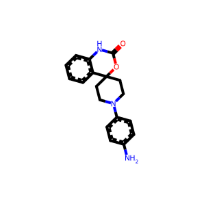 Nc1ccc(N2CCC3(CC2)OC(=O)Nc2ccccc23)cc1